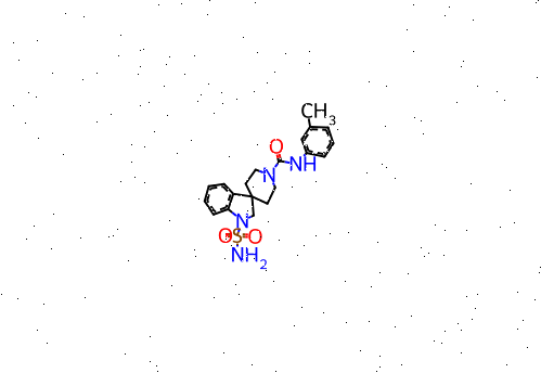 Cc1cccc(NC(=O)N2CCC3(CC2)CN(S(N)(=O)=O)c2ccccc23)c1